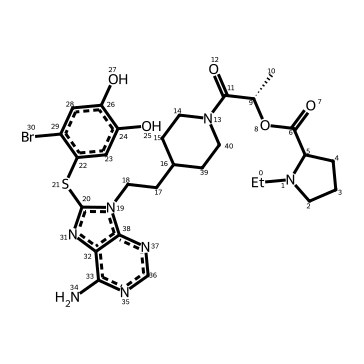 CCN1CCCC1C(=O)O[C@@H](C)C(=O)N1CCC(CCn2c(Sc3cc(O)c(O)cc3Br)nc3c(N)ncnc32)CC1